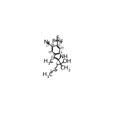 CCSCC(C)(O)c1[nH]c2cc(C(F)(F)F)c(C#N)cc2c1C